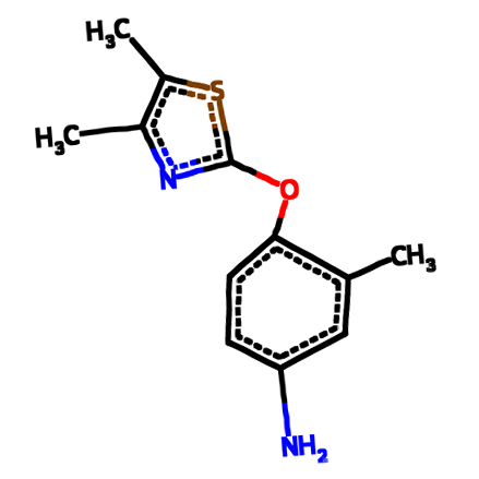 Cc1cc(N)ccc1Oc1nc(C)c(C)s1